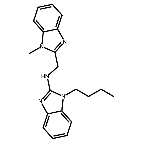 CCCCn1c(NCc2nc3ccccc3n2C)nc2ccccc21